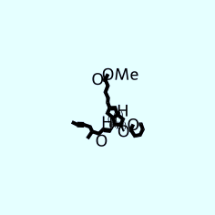 CC#CCC(C)C(=O)C=C[C@H]1[C@@H]2CC(CCCCC(=O)OC)=C[C@@H]2C[C@H]1OC1CCCCO1